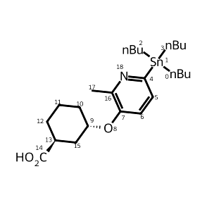 CCC[CH2][Sn]([CH2]CCC)([CH2]CCC)[c]1ccc(O[C@H]2CCC[C@H](C(=O)O)C2)c(C)n1